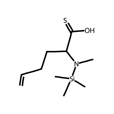 C=CCCC(C(O)=S)N(C)[Si](C)(C)C